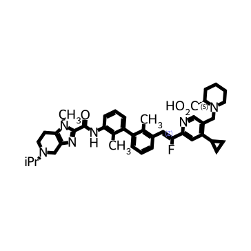 Cc1c(/C=C(\F)c2cc(C3CC3)c(CN3CCCC[C@H]3C(=O)O)cn2)cccc1-c1cccc(NC(=O)c2nc3c(n2C)CCN(C(C)C)C3)c1C